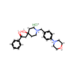 Cl.O=C(CC1(O)CCN(Cc2ccc(N3CCOCC3)cc2)CC1)c1ccccc1